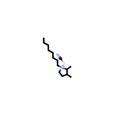 CCCCCCCC[N+]1(SC#N)CCC(C)C1C